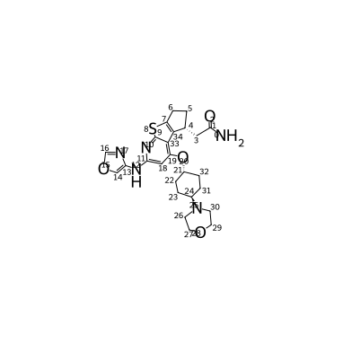 NC(=O)C[C@H]1CCc2sc3nc(Nc4cocn4)cc(O[C@H]4CC[C@H](N5CCOCC5)CC4)c3c21